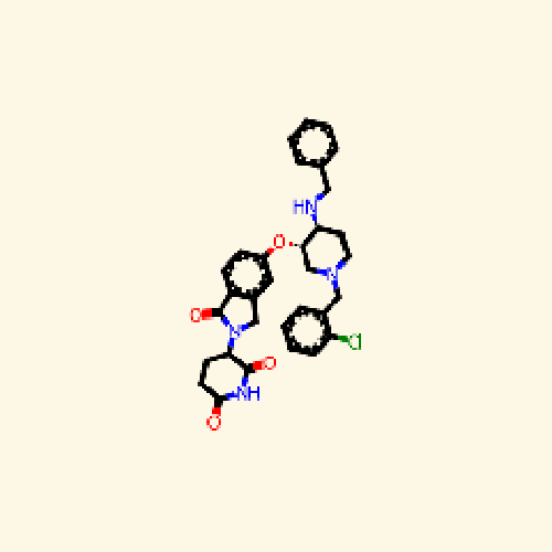 O=C1CCC(N2Cc3cc(O[C@H]4CN(Cc5ccccc5Cl)CC[C@@H]4NCc4ccccc4)ccc3C2=O)C(=O)N1